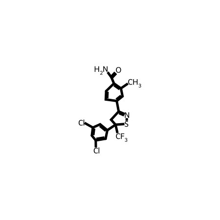 Cc1cc(C2=NSC(c3cc(Cl)cc(Cl)c3)(C(F)(F)F)C2)ccc1C(N)=O